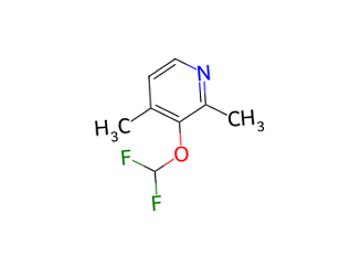 Cc1ccnc(C)c1OC(F)F